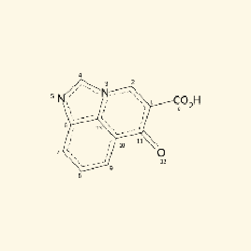 O=C(O)c1cn2cnc3cccc(c1=O)c32